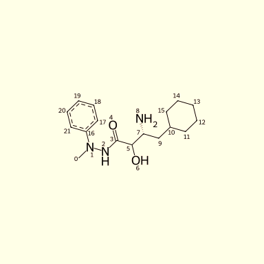 CN(NC(=O)C(O)[C@H](N)CC1CCCCC1)c1ccccc1